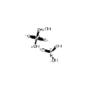 Cl.O=S(=O)(O)O.O=[PH](O)O